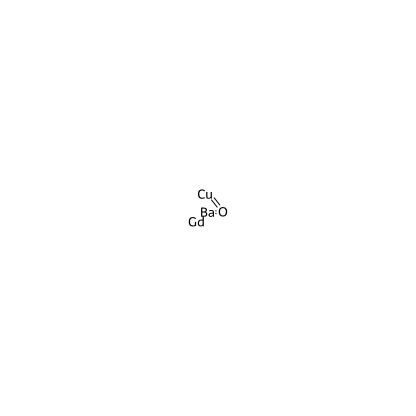 [Ba].[Gd].[O]=[Cu]